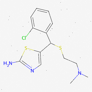 CN(C)CCSC(c1cnc(N)s1)c1ccccc1Cl